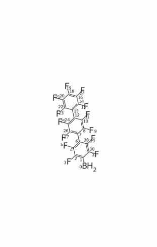 Bc1c(F)c(F)c(-c2c(F)c(F)c(-c3c(F)c(F)c(F)c(F)c3F)c(F)c2F)c(F)c1F